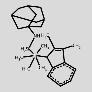 CC1=C(C)[CH]([Ti]([CH3])([CH3])([CH3])([CH3])[SiH2]NC23CC4CC(CC(C4)C2)C3)c2ccccc21